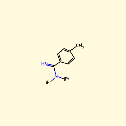 Cc1ccc(C(=N)N(C(C)C)C(C)C)cc1